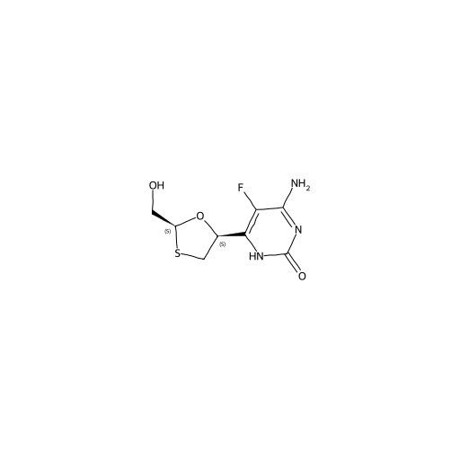 Nc1nc(=O)[nH]c([C@H]2CS[C@@H](CO)O2)c1F